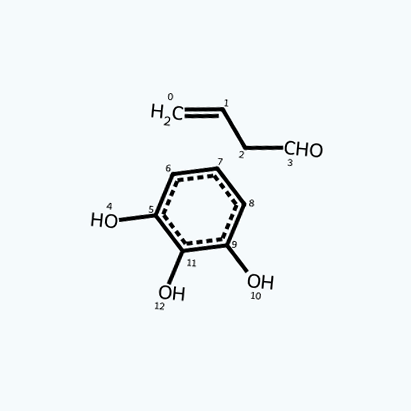 C=CCC=O.Oc1cccc(O)c1O